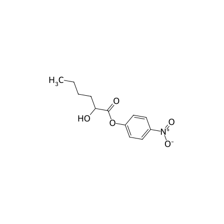 CCCCC(O)C(=O)Oc1ccc([N+](=O)[O-])cc1